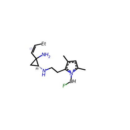 CC/C=C\C1(N)C[C@H]1NCCc1c(C)cc(C)n1BF